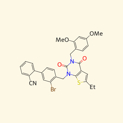 CCc1cc2c(=O)n(Cc3ccc(OC)cc3OC)c(=O)n(Cc3ccc(-c4ccccc4C#N)cc3Br)c2s1